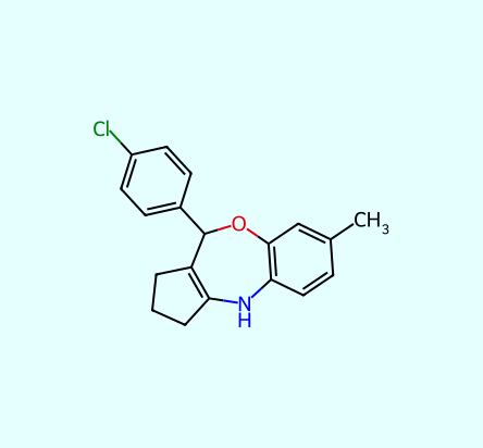 Cc1ccc2c(c1)OC(c1ccc(Cl)cc1)C1=C(CCC1)N2